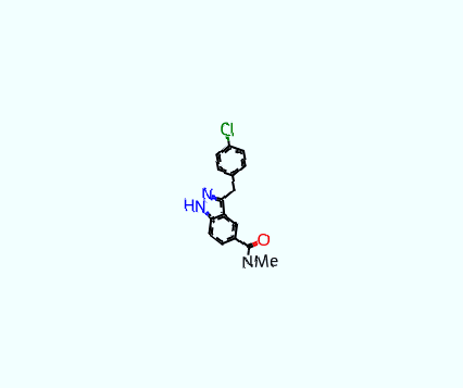 CNC(=O)c1ccc2[nH]nc(Cc3ccc(Cl)cc3)c2c1